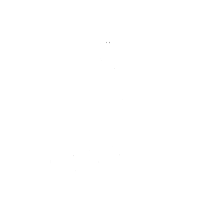 CC=COC1(C(=O)OC)C=CC(I)=C(c2ccc3c(c2)C2(C)C4(C)CCC(C4)C2(C)O3)C1